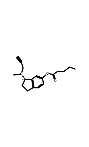 C#CCN(C)[C@@H]1CCc2ccc(OC(=O)CCCC)cc21